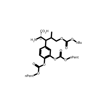 CCCCCOC(=O)Oc1ccc(C(C(C)COC(=O)OCCCC)[C@H](N)C(=O)O)cc1OC(=O)OCCCCC